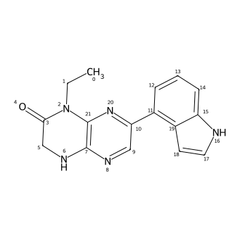 CCN1C(=O)CNc2ncc(-c3cccc4[nH]ccc34)nc21